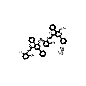 Br.Br.COc1nc(-c2ccccc2)cc(C(=O)C=Nc2c(C(C)C)cccc2C(C)C)c1-c1ccccc1.COc1nc(-c2ccccc2)cc(C(=O)C=Nc2c(C(C)C)cccc2C(C)C)c1-c1ccccc1.[Co].[Ni]